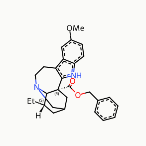 CC[C@H]1CC2CN3CCc4c([nH]c5ccc(OC)cc45)[C@@](C(=O)OCc4ccccc4)(C2)C13